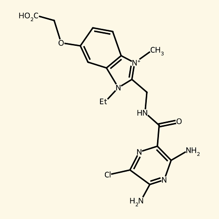 CCn1c(CNC(=O)c2nc(Cl)c(N)nc2N)[n+](C)c2ccc(OCC(=O)O)cc21